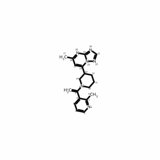 C=C(c1cccnc1C)N1CCCC(c2cc(C)nc3ncnn23)C1